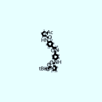 CC(=O)N1CCC[C@H]1C(=O)Nc1ccc(-c2cnc(-c3ccc(NC(=O)[C@@H]4C=CCN4C(=O)OC(C)(C)C)cc3)o2)cc1